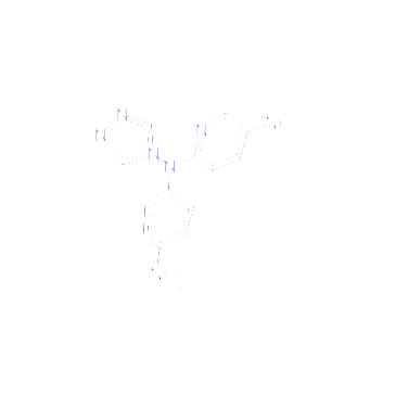 O=[N+]([O-])c1ccc(N(c2ccc([N+](=O)[O-])cn2)n2cnnc2)cc1